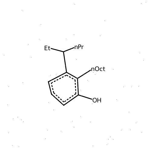 CCCCCCCCc1c(O)cccc1C(CC)CCC